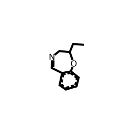 CCC1CN=Cc2ccccc2O1